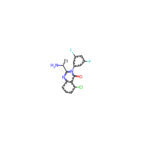 CC[C@H](N)c1nc2cccc(Cl)c2c(=O)n1-c1cc(F)cc(F)c1